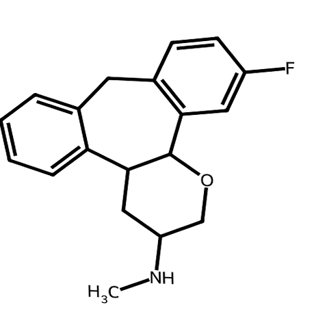 CNC1COC2c3cc(F)ccc3Cc3ccccc3C2C1